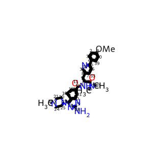 COc1ccc(-c2ccc(CC(NC(=O)c3ccc4c(N5CCN(C)CC5)nc(N)nc4c3)C(=O)N(C)C)cn2)cc1